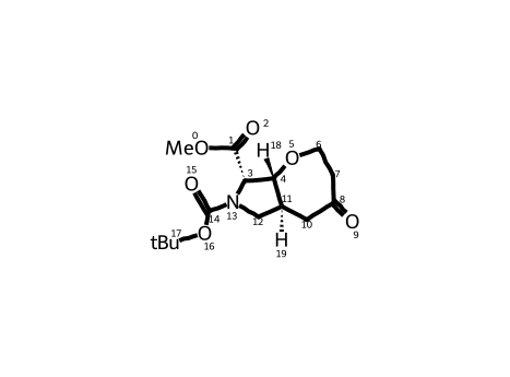 COC(=O)[C@@H]1[C@@H]2OCCC(=O)C[C@H]2CN1C(=O)OC(C)(C)C